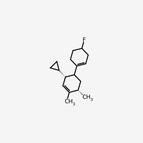 CC1=C[C@H](C2CC2)C(C2=CCC(F)CC2)C[C@@H]1C